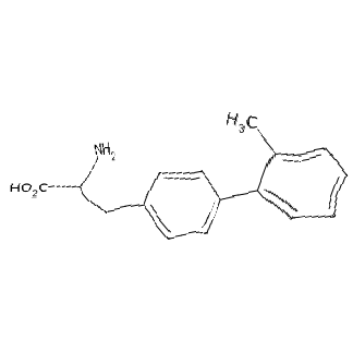 Cc1ccccc1-c1ccc(CC(N)C(=O)O)cc1